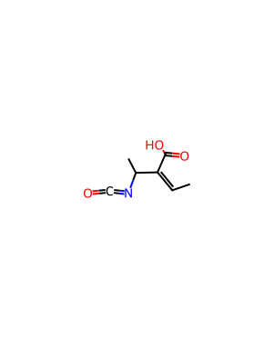 CC=C(C(=O)O)C(C)N=C=O